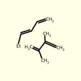 C=C(C)C(=C)C.C=CC=CCC